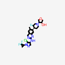 Cc1cc2cnc(Nc3cnn(C4CC4(F)F)c3Cl)nc2cc1[C@@H]1CCN(C2COC[C@H]2O)CC1F